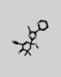 COC1(c2nc(C)c(-c3ccccn3)s2)C=C(C#N)C(=O)C(C)(C)C1